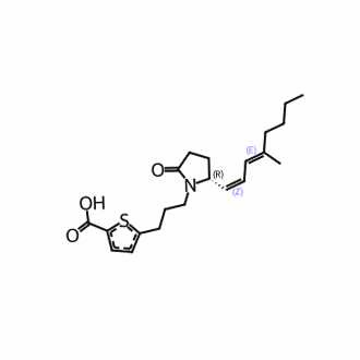 CCCC/C(C)=C/C=C\[C@H]1CCC(=O)N1CCCc1ccc(C(=O)O)s1